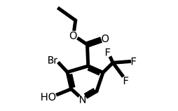 CCOC(=O)c1c(C(F)(F)F)cnc(O)c1Br